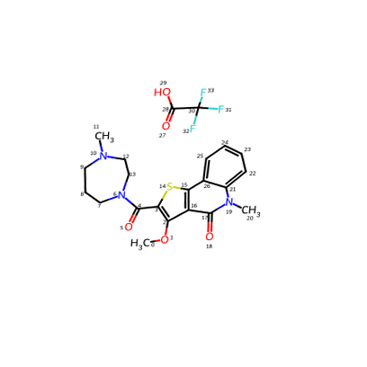 COc1c(C(=O)N2CCCN(C)CC2)sc2c1c(=O)n(C)c1ccccc21.O=C(O)C(F)(F)F